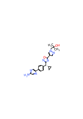 CC(C)(O)Cn1cc(-c2nc([C@@H](c3ccc(-c4cnc(N)cn4)cc3)C3CC3)no2)cn1